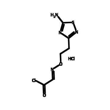 Cl.Nc1nc(CCON=CC(=O)Cl)ns1